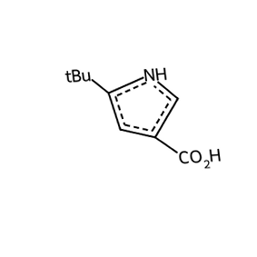 CC(C)(C)c1cc(C(=O)O)c[nH]1